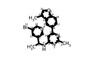 Cc1nc(NC(C)c2cncc(Br)c2)cc(-c2ccc3occ(C)c3c2)n1